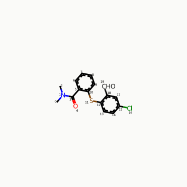 CN(C)C(=O)c1ccccc1Sc1ccc(Cl)cc1C=O